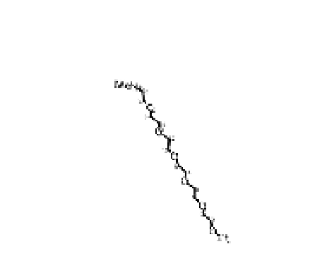 CCOCCOCCOCCOCCOCCOCCNC